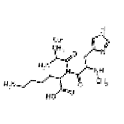 CNC(Cc1c[nH]cn1)C(=O)N(C(=O)C(C)N)C(CCCCN)C(=O)O.[Cu]